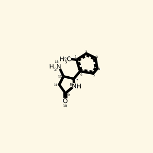 Cc1ccccc1C1NC(=O)CC1N